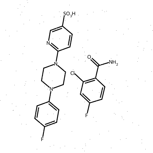 NC(=O)c1ccc(F)cc1Cl.O=S(=O)(O)c1ccc(N2CCN(c3ccc(F)cc3)CC2)nc1